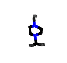 CC(C)N1CCN(C(C#N)C#N)CC1